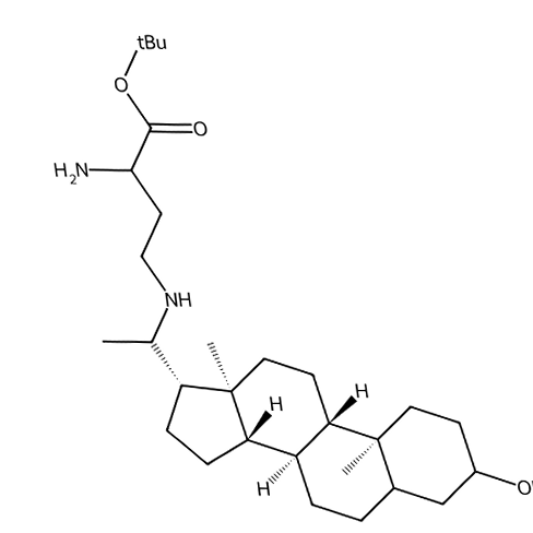 CC(NCCC(N)C(=O)OC(C)(C)C)[C@H]1CC[C@H]2[C@@H]3CCC4CC(O)CC[C@]4(C)[C@H]3CC[C@]12C